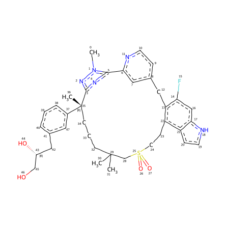 Cn1nc2nc1-c1cc(ccn1)Cc1c(F)cc3[nH]ccc3c1CCS(=O)(=O)CC(C)(C)CCC[C@]2(C)c1cccc(C[C@@H](O)CO)c1